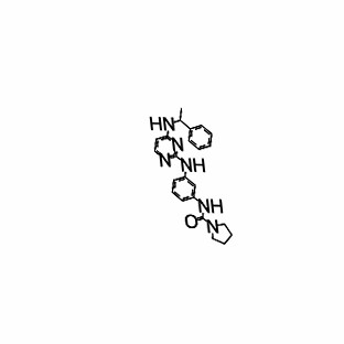 CC(Nc1ccnc(Nc2cccc(NC(=O)N3CCCC3)c2)n1)c1ccccc1